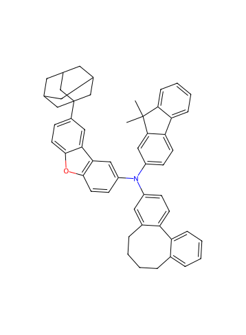 CC1(C)c2ccccc2-c2ccc(N(c3ccc4c(c3)CCCCc3ccccc3-4)c3ccc4oc5ccc(C67CC8CC(CC(C8)C6)C7)cc5c4c3)cc21